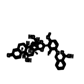 COc1ccc(OCc2ccccc2C(=O)O)c(F)c1[C@@H]1O[C@@H]2C[C@H]3[C@@H]4CCC5=CC(=O)C=C[C@]5(C)[C@H]4[C@@H](O)C[C@]3(C)[C@]2(C(=O)CO)O1